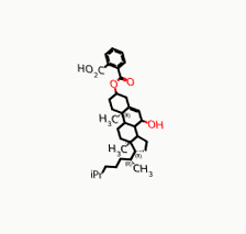 CC(C)CCC[C@@H](C)[C@H]1CCC2C3C(O)C=C4CC(OC(=O)c5ccccc5C(=O)O)CC[C@]4(C)C3CC[C@@]21C